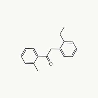 CCc1ccccc1CC(=O)c1ccccc1C